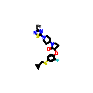 CC(C)c1nsc(N2CCC(N3CCC(Oc4ccc(SCC5CC5)cc4F)C3=O)CC2)n1